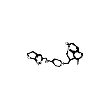 O=c1ccc2ccc(F)c3c2n1CC3CN1CCC(NCc2cc3c(nn2)OCC3)CC1